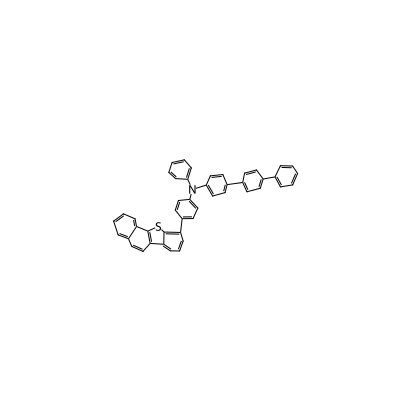 c1ccc(-c2ccc(-c3ccc(N(c4ccccc4)c4ccc(-c5cccc6c5sc5c7ccccc7ccc65)cc4)cc3)cc2)cc1